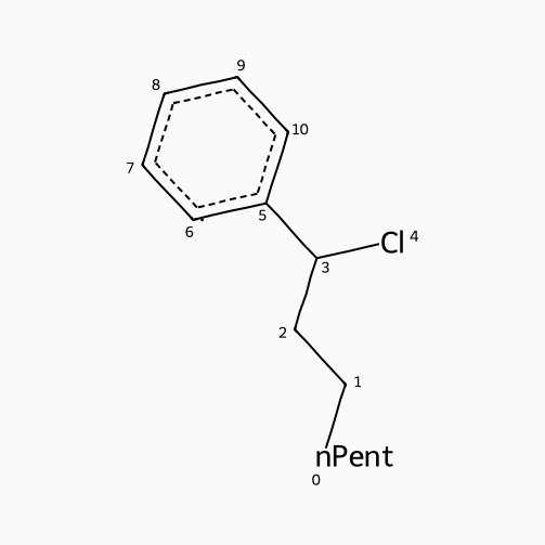 CCCCCCCC(Cl)c1[c]cccc1